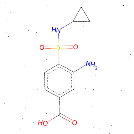 Nc1cc(C(=O)O)ccc1S(=O)(=O)NC1CC1